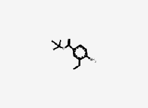 C=C(OC(C)(C)C)c1ccc(N)c(CC)c1